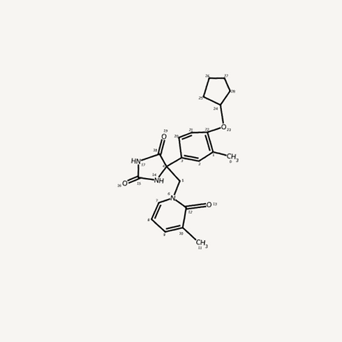 Cc1cc(C2(Cn3cccc(C)c3=O)NC(=O)NC2=O)ccc1OC1CCCC1